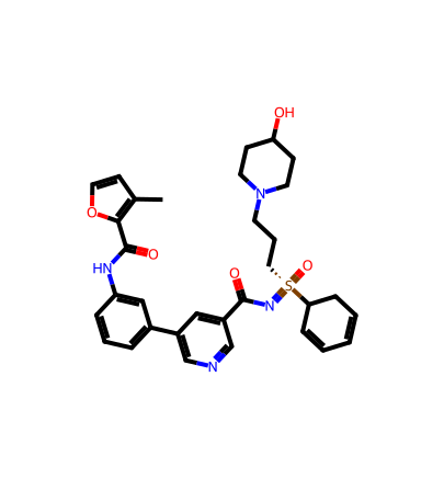 Cc1ccoc1C(=O)Nc1cccc(-c2cncc(C(=O)N=[S@](=O)(CCCN3CCC(O)CC3)C3C=CC=CC3)c2)c1